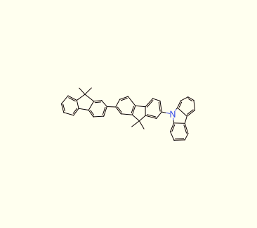 CC1(C)c2ccccc2-c2ccc(-c3ccc4c(c3)C(C)(C)c3cc(-n5c6ccccc6c6ccccc65)ccc3-4)cc21